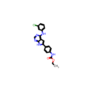 CCOC(=O)Nc1ccc(-c2cc3c(Nc4cccc(Cl)c4)ncnc3[nH]2)cc1